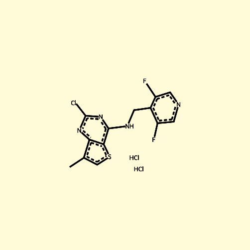 Cc1csc2c(NCc3c(F)cncc3F)nc(Cl)nc12.Cl.Cl